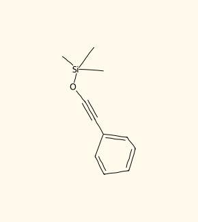 C[Si](C)(C)OC#Cc1ccccc1